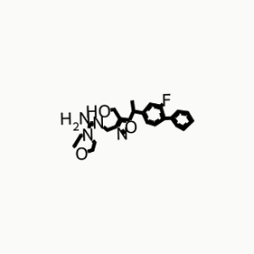 CC(c1ccc(-c2ccccc2)c(F)c1)c1onc(CN=C(N)N2CCOCC2)c1CO